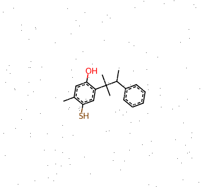 Cc1cc(O)c(C(C)(C)C(C)c2ccccc2)cc1S